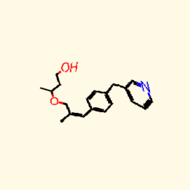 CC(=Cc1ccc(Cc2cccnc2)cc1)COC(C)CCO